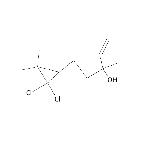 C=CC(C)(O)CCC1C(C)(C)C1(Cl)Cl